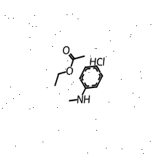 CCOC(C)=O.CNc1ccccc1.Cl